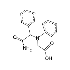 NC(=O)C(c1ccccc1)N(CC(=O)O)c1ccccc1